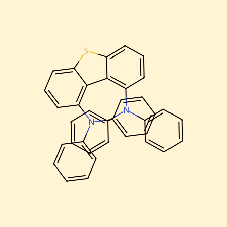 c1ccc(N(c2ccccc2)c2cccc3sc4cccc(N(c5ccccc5)c5ccccc5)c4c23)cc1